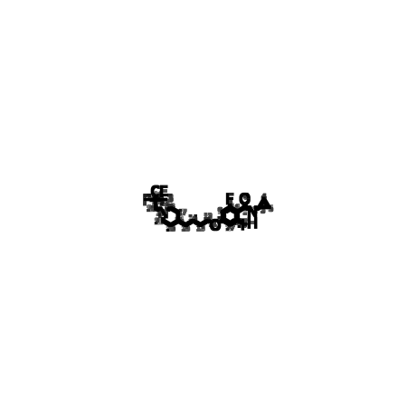 O=C(NC1CC1)c1c(F)cc(OCCCCC2CCN(CC(F)(F)C(F)(F)F)CC2)cc1F